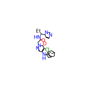 CCC(NC(=O)Cn1ncc(NC23CC4CC(CC2C4)C3)c(Cl)c1=O)c1ccncn1